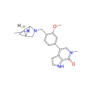 COc1cc(-c2cn(C)c(=O)c3[nH]ccc23)ccc1CN1CC23C[C@H]2C1CN3C